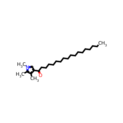 CCCCCCCCCCCCCCCCCC(=O)c1[c]n(C)c(C)c1C